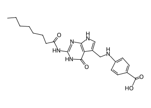 CCCCCCCC(=O)Nc1nc2[nH]cc(CNc3ccc(C(=O)O)cc3)c2c(=O)[nH]1